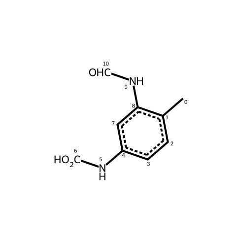 Cc1ccc(NC(=O)O)cc1NC=O